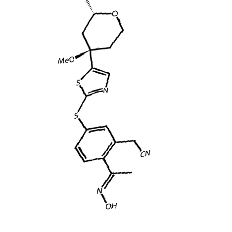 CO[C@]1(c2cnc(Sc3ccc(/C(C)=N/O)c(CC#N)c3)s2)CCO[C@@H](C)C1